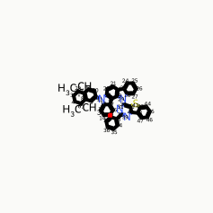 CC1(C)CCC(C)(C)c2cc(-n3c4ccccc4c4c3ccc3c5ccccc5n(-c5nc(-c6ccccc6)nc6c5sc5ccccc56)c34)ccc21